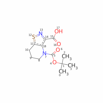 CC(C)(C)OC(=O)N1CCCc2snc(C(=O)O)c21